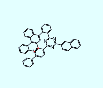 c1ccc(-c2ccc(-c3nc(-c4ccc5ccccc5c4)nc(-c4ccccc4-c4cc5cnc6ccccc6c5c5ccccc45)n3)cc2)cc1